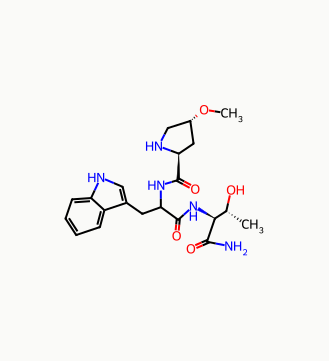 CO[C@H]1CN[C@H](C(=O)NC(Cc2c[nH]c3ccccc23)C(=O)N[C@H](C(N)=O)[C@@H](C)O)C1